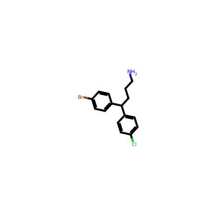 NCCCC(c1ccc(Cl)cc1)c1ccc(Br)cc1